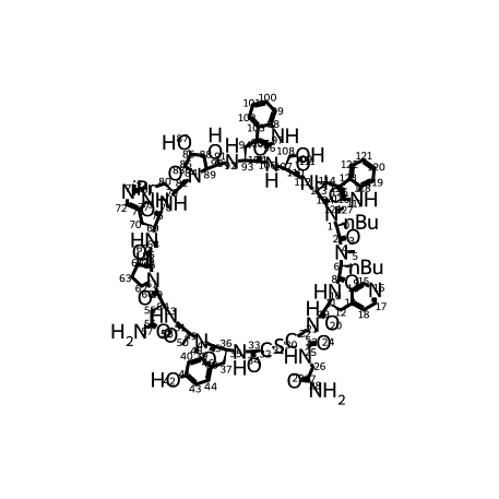 CCCC[C@H]1C(=O)N(C)[C@@H](CCCC)C(=O)N[C@@H](Cc2ccncc2)C(=O)N[C@H](C(=O)NCC(N)=O)CSCC(=O)N[C@@H](Cc2ccc(O)cc2)C(=O)N(C)[C@@H](C)C(=O)N[C@@H](CC(N)=O)C(=O)N2CCC[C@H]2C(=O)N[C@@H](Cc2cnc[nH]2)C(=O)N[C@@H](CC(C)C)C(=O)N2C[C@H](O)CC2C(O)N[C@@H](Cc2c[nH]c3ccccc23)C(=O)N[C@@H](CO)C(=O)N[C@@H](Cc2c[nH]c3ccccc23)C(=O)N1C